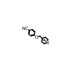 N#Cc1ccc(OCC23CCN(CC2)CC3)cc1